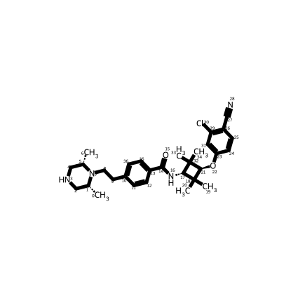 C[C@@H]1CNC[C@H](C)N1CCc1ccc(C(=O)N[C@H]2C(C)(C)[C@H](Oc3ccc(C#N)c(Cl)c3)C2(C)C)cc1